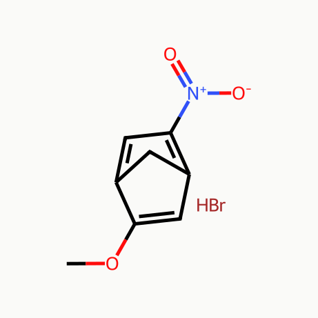 Br.COC1=CC2=C([N+](=O)[O-])C=C1C2